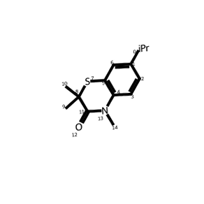 CC(C)c1ccc2c(c1)SC(C)(C)C(=O)N2C